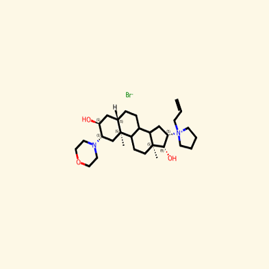 C=CC[N+]1([C@H]2CC3C4CC[C@H]5C[C@H](O)[C@@H](N6CCOCC6)C[C@]5(C)C4CC[C@]3(C)[C@H]2O)CCCC1.[Br-]